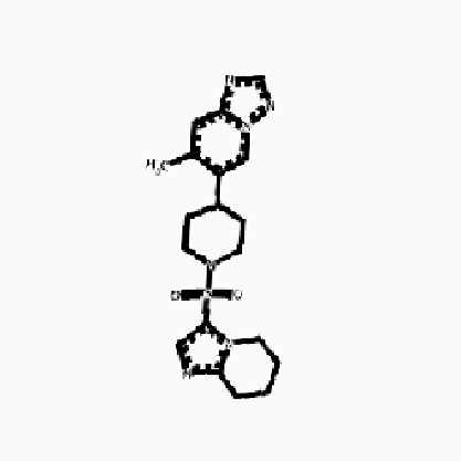 Cc1cc2ncnn2cc1C1CCN(S(=O)(=O)c2cnc3n2CCCC3)CC1